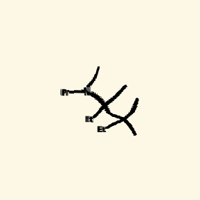 CCC(C)(C)C(C)(CC)N(C)C(C)C